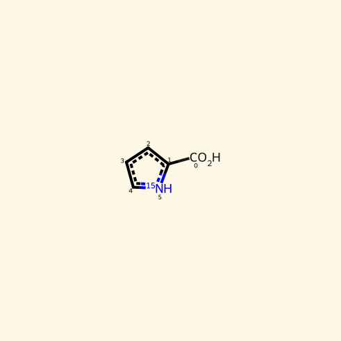 O=C(O)c1ccc[15nH]1